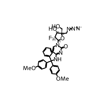 COc1ccc(C(Nc2ccn([C@@H]3O[C@@](CO)(CN=[N+]=[N-])[C@@H](O)[C@H]3F)c(=O)n2)(c2ccccc2)c2ccc(OC)cc2)cc1